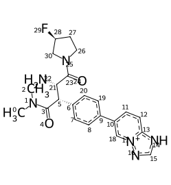 CN(C)C(=O)[C@@H](c1ccc(-c2ccc3[nH]cn[n+]3c2)cc1)[C@H](N)C(=O)N1CC[C@H](F)C1